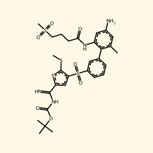 CSc1sc(C(=N)NC(=O)OC(C)(C)C)cc1S(=O)(=O)c1cccc(-c2c(C)cc(N)cc2NC(=O)CCCS(C)(=O)=O)c1